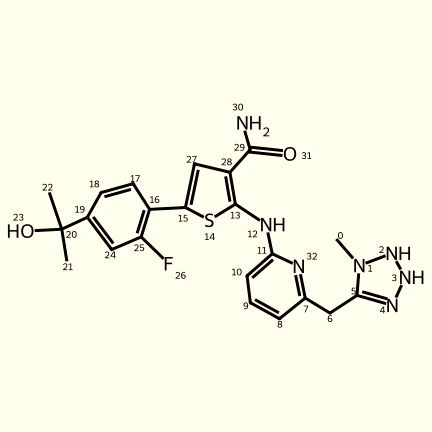 CN1NNN=C1Cc1cccc(Nc2sc(-c3ccc(C(C)(C)O)cc3F)cc2C(N)=O)n1